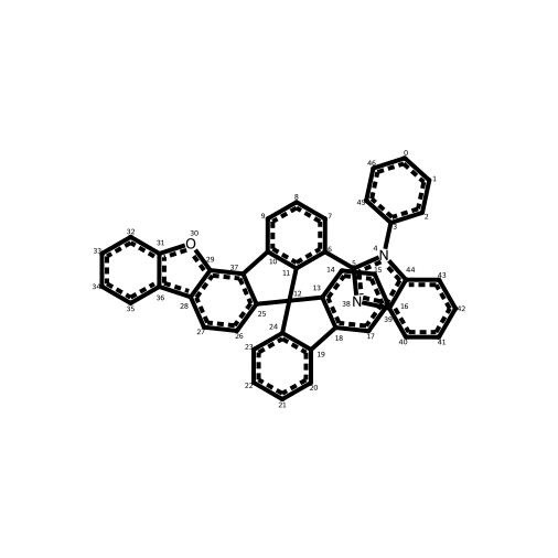 c1ccc(-n2c(-c3cccc4c3C3(c5ccccc5-c5ccccc53)c3ccc5c(oc6ccccc65)c3-4)nc3ccccc32)cc1